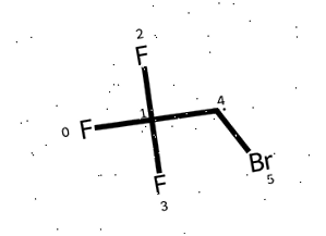 FC(F)(F)[CH]Br